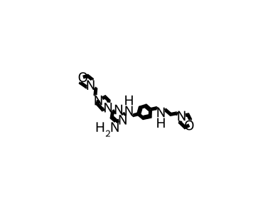 Nc1cc(N2CCN(CCN3CCOCC3)CC2)nc(NCc2ccc(CNCCCN3CCOCC3)cc2)n1